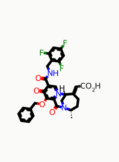 C[C@H]1CCC(=CC(=O)O)[C@H]2CN1C(=O)c1c(OCc3ccccc3)c(=O)c(C(=O)NCc3c(F)cc(F)cc3F)cn12